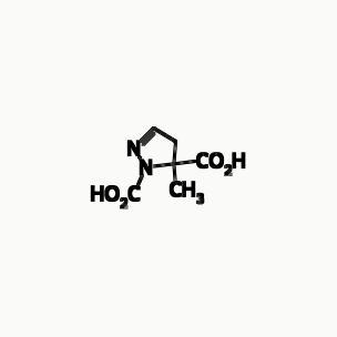 CC1(C(=O)O)CC=NN1C(=O)O